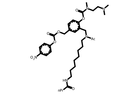 CCCC(=O)NCCCCCCCCN(Cc1cc(COC(=O)Oc2ccc([N+](=O)[O-])cc2)ccc1OC(=O)N(C)CCN(C)C)C(C)=O